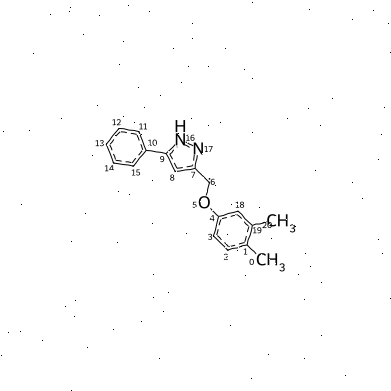 Cc1ccc(O[CH]c2cc(-c3ccccc3)[nH]n2)cc1C